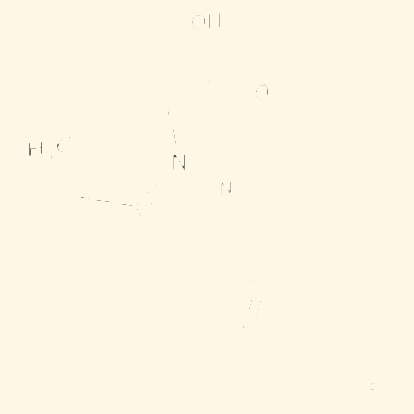 CCc1cc(-c2ccc(F)cc2)nn1CC(=O)O